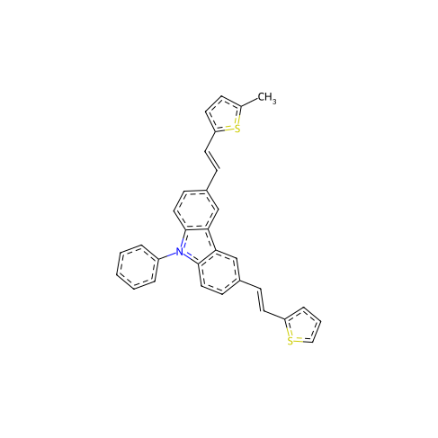 Cc1ccc(/C=C/c2ccc3c(c2)c2cc(/C=C/c4cccs4)ccc2n3-c2ccccc2)s1